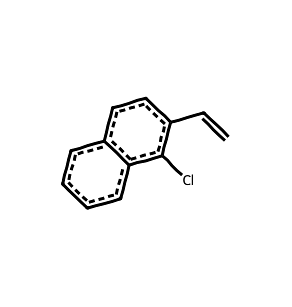 C=Cc1ccc2ccccc2c1Cl